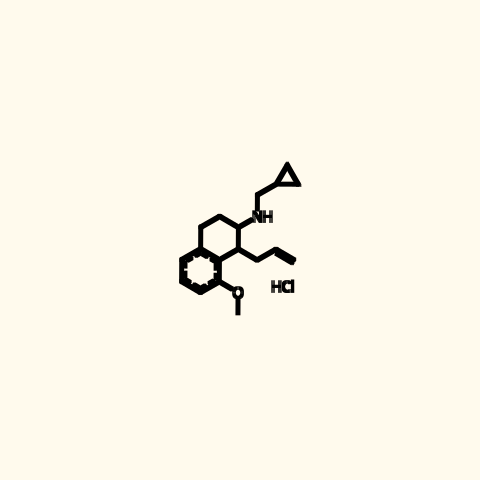 C=CCC1c2c(cccc2OC)CCC1NCC1CC1.Cl